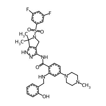 CN1CCN(c2ccc(C(=O)Nc3n[nH]c4c3CN(S(=O)(=O)c3cc(F)cc(F)c3)C4(C)C)c(NCc3ccccc3O)c2)CC1